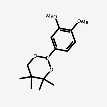 COc1ccc(B2OCC(C)(C)C(C)(C)O2)cc1OC